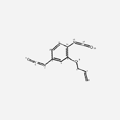 C=CCOc1cc(N=C=O)ccc1N=C=O